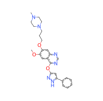 COc1cc2c(Oc3cc(-c4ccccc4)[nH]n3)ncnc2cc1OCCCN1CCN(C)CC1